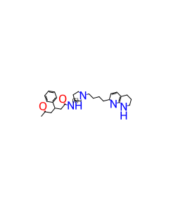 CC(=O)CC(CC(=O)N[C@H]1CCN(CCCCc2ccc3c(n2)NCCC3)C1)c1ccccc1